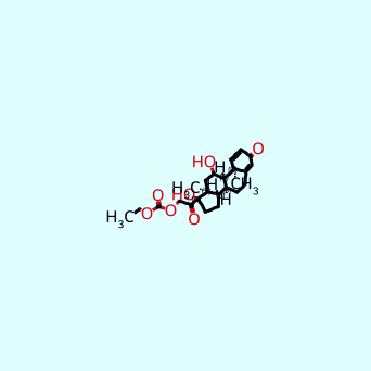 CCOC(=O)OCC(=O)[C@@]1(O)CC[C@H]2[C@@H]3CCC4=CC(=O)C=C[C@]4(C)[C@H]3C(O)C[C@@]21C